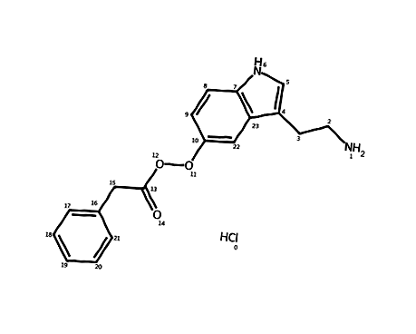 Cl.NCCc1c[nH]c2ccc(OOC(=O)Cc3ccccc3)cc12